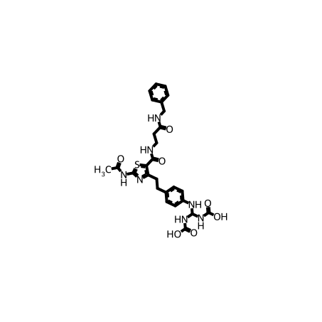 CC(=O)Nc1nc(CCc2ccc(NC(NC(=O)O)NC(=O)O)cc2)c(C(=O)NCCC(=O)NCc2ccccc2)s1